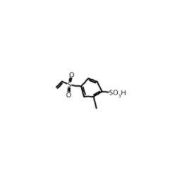 C=CS(=O)(=O)c1ccc(S(=O)(=O)O)c(C)c1